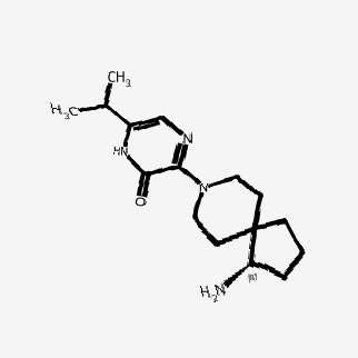 CC(C)c1cnc(N2CCC3(CCC[C@H]3N)CC2)c(=O)[nH]1